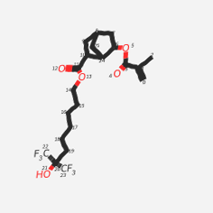 C=C(C)C(=O)OC1CC2CC(C(=O)OCCCCCCC(O)(C(F)(F)F)C(F)(F)F)C1C2